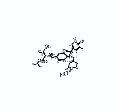 Cc1cc(-c2nc3cc(CN[C@H](C(=O)OC(C)C)[C@@H](C)O)ccc3n2CC2CCOCC2)cn(C)c1=O.Cl